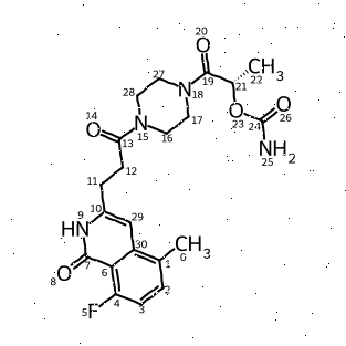 Cc1ccc(F)c2c(=O)[nH]c(CCC(=O)N3CCN(C(=O)[C@H](C)OC(N)=O)CC3)cc12